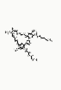 CCCCCCOc1cc(-c2ccc(-c3cc(OCCCCCC)c(C)cc3OCCCCCC)s2)c(OCCCCCC)cc1C